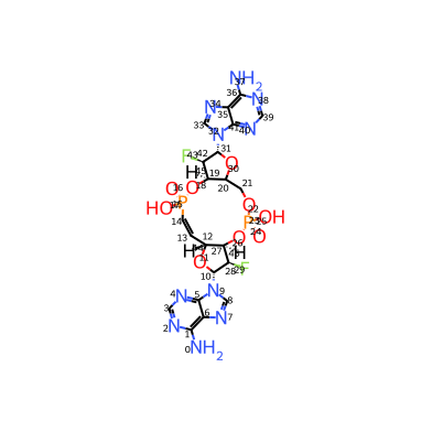 Nc1ncnc2c1ncn2[C@@H]1O[C@@H]2/C=C\P(=O)(O)O[C@@H]3C(COP(=O)(O)O[C@H]2[C@H]1F)O[C@@H](n1cnc2c(N)ncnc21)[C@@H]3F